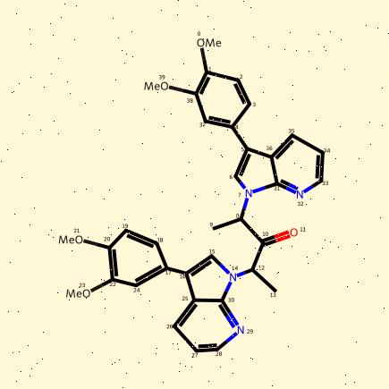 COc1ccc(-c2cn(C(C)C(=O)C(C)n3cc(-c4ccc(OC)c(OC)c4)c4cccnc43)c3ncccc23)cc1OC